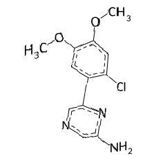 COc1cc(Cl)c(-c2cncc(N)n2)cc1OC